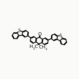 CC1(C)c2ccc(-c3ccc4sc5ccccc5c4c3)cc2C(=O)c2cc(-c3ccc4sc5ccccc5c4c3)ccc21